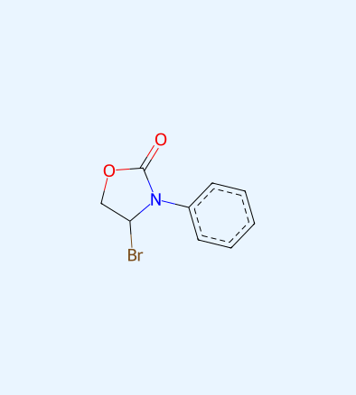 O=C1OCC(Br)N1c1ccccc1